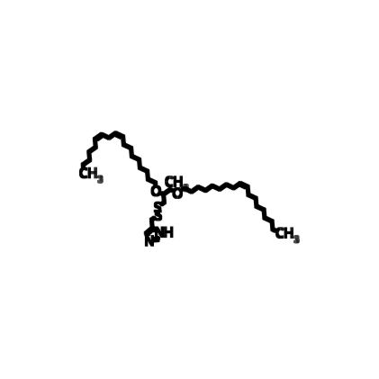 CCCCC/C=C\C/C=C\CCCCCCCCOC(CSSCc1cnc[nH]1)[C@H](C)OCCCCCCCC/C=C\CCCCCCCC